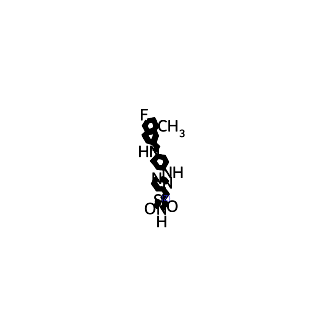 CC1CC(F)Cc2ccc(CN[C@H]3CC[C@@H](Nc4nccc(/C=C5\SC(=O)NC5=O)n4)CC3)cc21